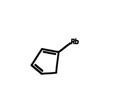 [Rb][C]1=CC=CC1